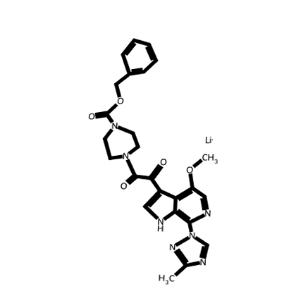 COc1cnc(-n2cnc(C)n2)c2[nH]cc(C(=O)C(=O)N3CCN(C(=O)OCc4ccccc4)CC3)c12.[Li]